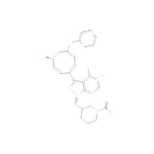 CCC(=O)N1CCCC(/C=[N+]2/N=C(C3=CC=C(Oc4ccccc4)[C@@H](C)[C@H](C)/C=C\3)c3c2nc[n+](C)c3N)C1